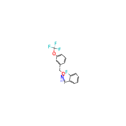 Fc1ccccc1/[C]=N\OCc1cccc(OC(F)(F)F)c1